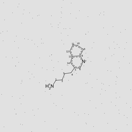 NCCCCc1cnc2ccccc2c1